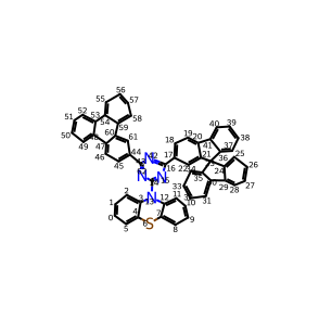 c1ccc2c(c1)Sc1ccccc1N2c1nc(-c2ccc3c(c2)C2(c4ccccc4-c4ccccc42)c2ccccc2-3)nc(-c2ccc3c4ccccc4c4ccccc4c3c2)n1